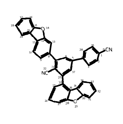 N#Cc1ccc(-c2cc(-c3ccc4c(c3)oc3ccccc34)c(C#N)c(-c3cccc4oc5ccccc5c34)c2)cc1